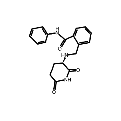 O=C1CC[C@@H](NCc2ccccc2C(=O)Nc2ccccc2)C(=O)N1